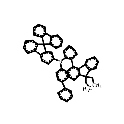 CCC1(CC)c2ccccc2-c2c(-c3ccccc3N(c3ccc(-c4ccccc4)cc3)c3ccc4c(c3)C3(c5ccccc5-c5ccccc53)c3ccccc3-4)cccc21